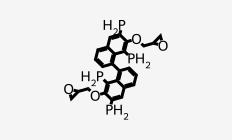 Pc1cc2cccc(-c3cccc4cc(P)c(OCC5CO5)c(P)c34)c2c(P)c1OCC1CO1